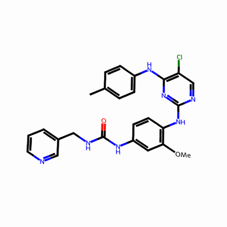 COc1cc(NC(=O)NCc2cccnc2)ccc1Nc1ncc(Cl)c(Nc2ccc(C)cc2)n1